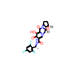 C[C@@H](NC(=O)c1cn2c(c(O)c1=O)C(=O)N1C3CC[C@H](C3)O[C@@H]1C2)c1c(F)cc(F)cc1F